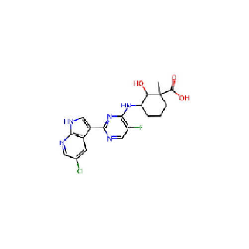 CC1(C(=O)O)CCCC(Nc2nc(-c3c[nH]c4ncc(Cl)cc34)ncc2F)C1O